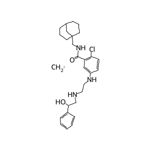 O=C(NCC12CCCC(CCC1)C2)c1cc(NCCNCC(O)c2ccccc2)ccc1Cl.[CH2]